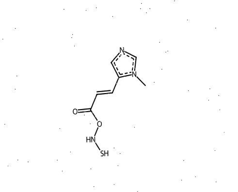 Cn1cncc1/C=C/C(=O)ONS